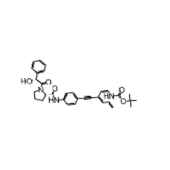 C=C/C=C(C#Cc1ccc(NC(=O)[C@@H]2CCCN2C(=O)[C@H](O)c2ccccc2)cc1)\C=C/NC(=O)OC(C)(C)C